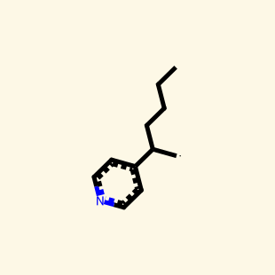 [CH2]C(CCCC)c1ccncc1